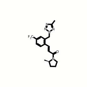 Cc1nnn(Cc2cc(C(F)(F)F)ccc2C=CC(=O)N2CCC[C@H]2C)n1